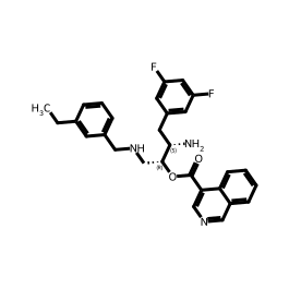 CCc1cccc(CNC[C@@H](OC(=O)c2cncc3ccccc23)[C@@H](N)Cc2cc(F)cc(F)c2)c1